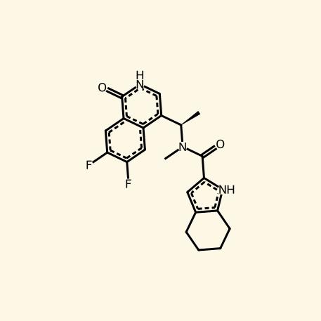 C[C@H](c1c[nH]c(=O)c2cc(F)c(F)cc12)N(C)C(=O)c1cc2c([nH]1)CCCC2